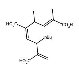 C=C(C(=O)O)C(C=C(C(=O)O)C(C)C=C(C)C(=O)O)CCCC